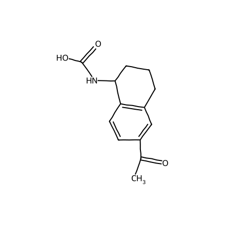 CC(=O)c1ccc2c(c1)CCCC2NC(=O)O